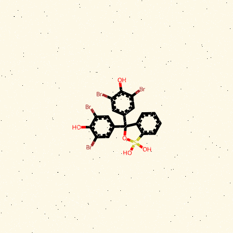 Oc1c(Br)cc(C2(c3cc(Br)c(O)c(Br)c3)OS(O)(O)c3ccccc32)cc1Br